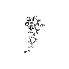 CCCCc1ccc(-c2ccc(C3C(CC)CCCC3(C#N)C(=O)O)cc2)cc1